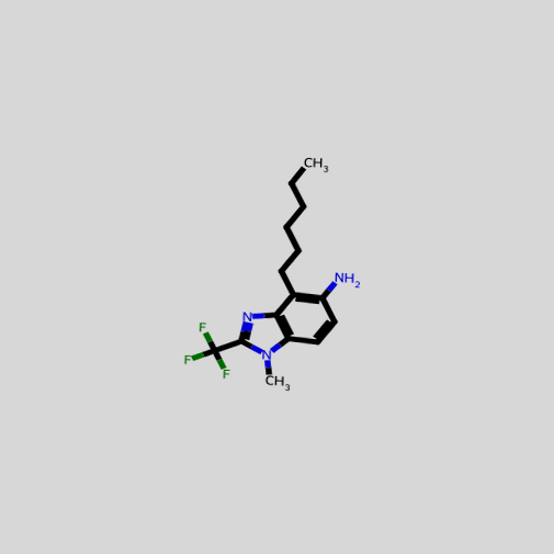 CCCCCCc1c(N)ccc2c1nc(C(F)(F)F)n2C